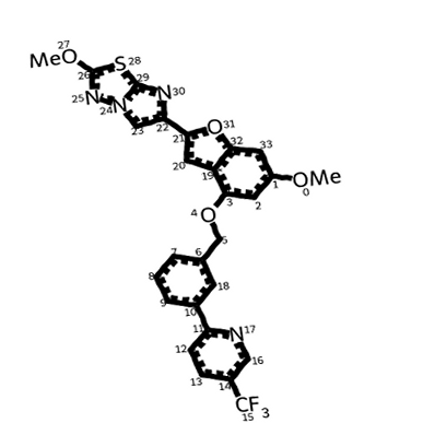 COc1cc(OCc2cccc(-c3ccc(C(F)(F)F)cn3)c2)c2cc(-c3cn4nc(OC)sc4n3)oc2c1